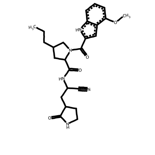 CCCC1CC(C(=O)NC(C#N)CC2CCNC2=O)N(C(=O)c2cc3c(OC)cccc3[nH]2)C1